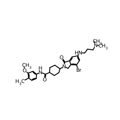 COc1cc(NC(=O)C2CCC(N3Cc4c(Br)cc(NCCCN(C)C)cc4C3=O)CC2)ccc1C